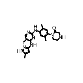 Cc1cc(Nc2nc(Nc3cc(C)c(N4CCNCC4=O)cc3C)ncc2I)n[nH]1